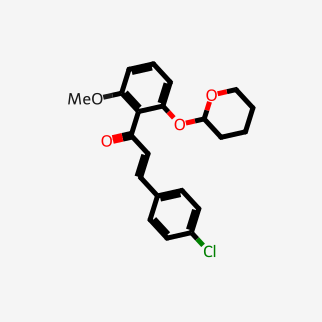 COc1cccc(OC2CCCCO2)c1C(=O)/C=C/c1ccc(Cl)cc1